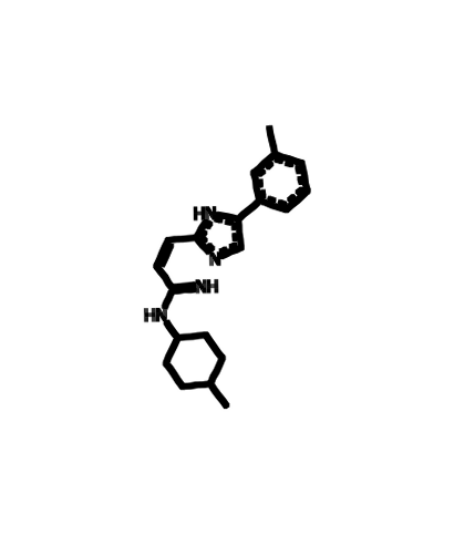 Cc1cccc(-c2cnc(/C=C\C(=N)NC3CCC(C)CC3)[nH]2)c1